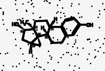 C[C@]12CC[C@@H]3c4ccc(O)cc4CC[C@H]3[C@]13C[C@@H]3C[C@@H]2O